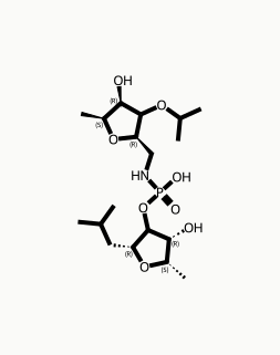 CC(C)C[C@H]1O[C@@H](C)[C@@H](O)C1OP(=O)(O)NC[C@H]1O[C@@H](C)[C@@H](O)C1OC(C)C